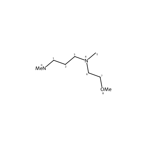 CNCCCN(C)CCOC